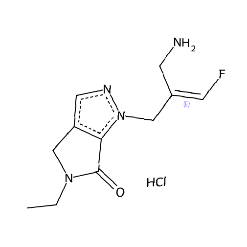 CCN1Cc2cnn(C/C(=C/F)CN)c2C1=O.Cl